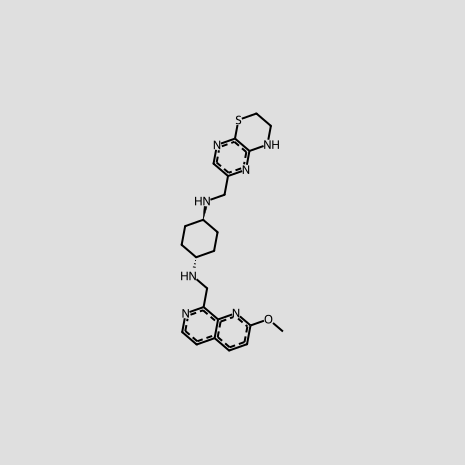 COc1ccc2ccnc(CN[C@H]3CC[C@H](NCc4cnc5c(n4)NCCS5)CC3)c2n1